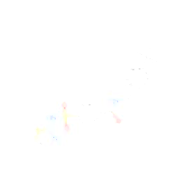 CC(C)(C)c1ccc(CNC(=O)c2ccc(S(=O)(=O)Nc3nccs3)cc2)cc1